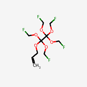 C=CCOC(OCF)(OCF)C(OCF)(OCF)OCF